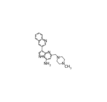 CN1CCN(Cc2cc(N)n3ncc(-c4cnc5ccccc5c4)c3n2)CC1